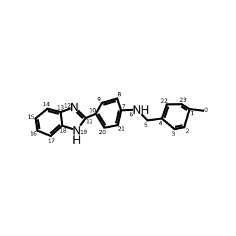 Cc1ccc(CNc2ccc(-c3nc4ccccc4[nH]3)cc2)cc1